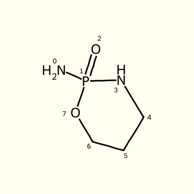 NP1(=O)NCCCO1